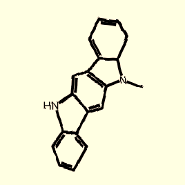 CN1c2cc3c(cc2C2=CC=CCC21)[nH]c1ccccc13